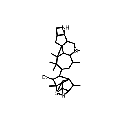 CCC1C(C2CC(C)C3BCC4C5NCC5CC45C3C5(C)C2(C)C)C23C(C)C4N5C46C2S56C13C